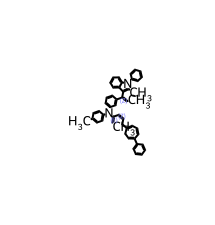 C/C=C(/c1cccc(N(C(/C=C\CC2=CC=CC(c3ccccc3)=CC2)=C/C)c2ccc(C)cc2)c1)c1c(C)n(-c2ccccc2)c2ccccc12